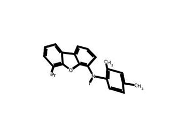 Cc1ccc(N(I)c2cccc3c2oc2c(C(C)C)cccc23)c(C)c1